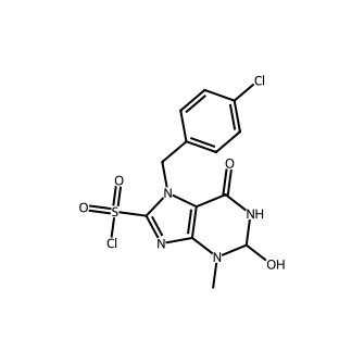 CN1c2nc(S(=O)(=O)Cl)n(Cc3ccc(Cl)cc3)c2C(=O)NC1O